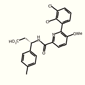 COc1ccc(C(=O)N[C@@H](CC(=O)O)c2ccc(C)cc2)nc1-c1cccc(Cl)c1Cl